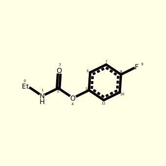 CCNC(=O)Oc1ccc(F)cc1